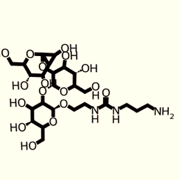 NCCCNC(=O)NCCO[C@H]1OC(CO)[C@@H](O)C(O)C1O[C@H]1OC(CO)[C@@H](O)C(O)C1OC12OC(CO)[C@@H](O)C(O)C1C2O